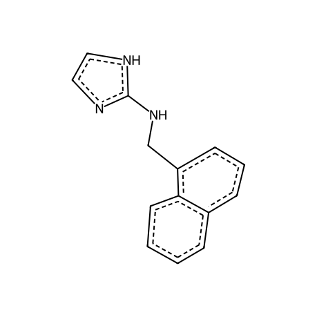 c1ccc2c(CNc3ncc[nH]3)cccc2c1